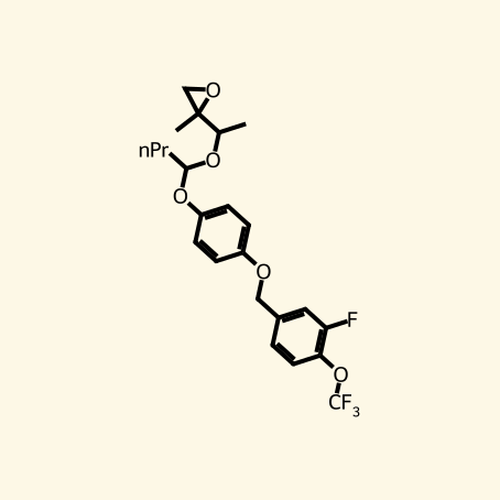 CCCC(Oc1ccc(OCc2ccc(OC(F)(F)F)c(F)c2)cc1)OC(C)C1(C)CO1